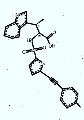 Cc1ccc(C#Cc2ccc(S(=O)(=O)N[C@H](C(=O)O)[C@H](C)c3c[nH]c4ccccc34)s2)cc1